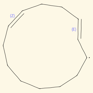 [CH]1/C=C/CC/C=C\CCCCCC1